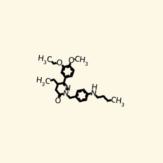 CCCCNc1ccc(CN2N=C(c3ccc(OC)c(OCC)c3)C(CC)CC2=O)cc1